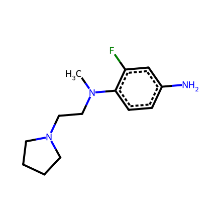 CN(CCN1CCCC1)c1ccc(N)cc1F